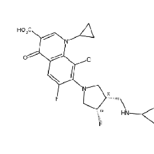 O=C(O)c1cn(C2CC2)c2c(Cl)c(N3C[C@H](CNC4CC4)[C@H](F)C3)c(F)cc2c1=O